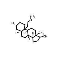 COCC[C@]12CC[C@@H](O)C[C@@H]1CC[C@@H]1[C@@H]2CC[C@]2(C)C(O)CC[C@@H]12